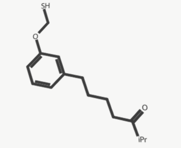 CC(C)C(=O)CCCCc1cccc(OCS)c1